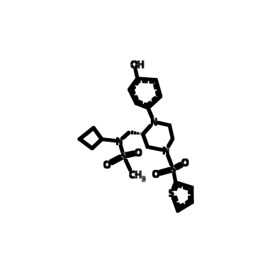 CS(=O)(=O)N(C[C@H]1CN(S(=O)(=O)c2cccs2)CCN1c1ccc(O)cc1)C1CCC1